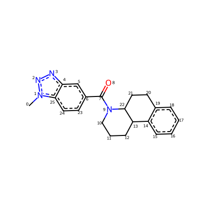 Cn1nnc2cc(C(=O)N3CCCC4c5ccccc5CCC43)ccc21